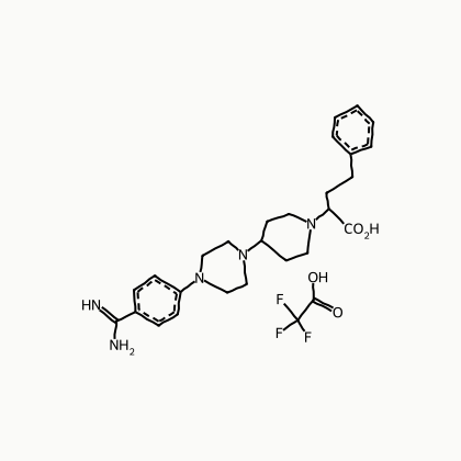 N=C(N)c1ccc(N2CCN(C3CCN(C(CCc4ccccc4)C(=O)O)CC3)CC2)cc1.O=C(O)C(F)(F)F